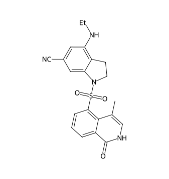 CCNc1cc(C#N)cc2c1CCN2S(=O)(=O)c1cccc2c(=O)[nH]cc(C)c12